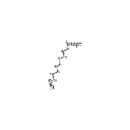 CCCCCCCCCCCCCCC[CH]SCC